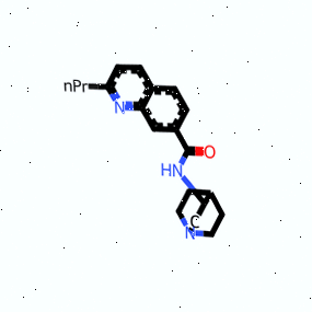 CCCc1ccc2ccc(C(=O)NC3CN4CCC3CC4)cc2n1